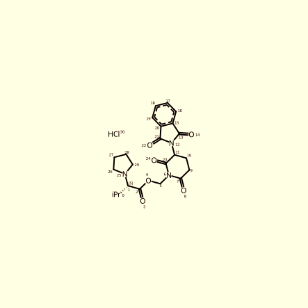 CC(C)[C@@H](C(=O)OCN1C(=O)CCC(N2C(=O)c3ccccc3C2=O)C1=O)N1CCCC1.Cl